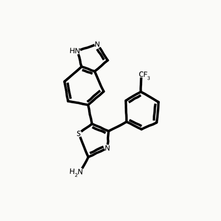 Nc1nc(-c2cccc(C(F)(F)F)c2)c(-c2ccc3[nH]ncc3c2)s1